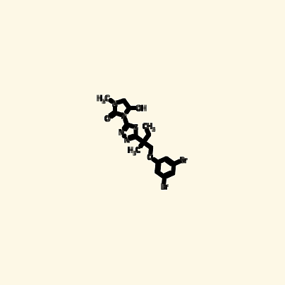 CCC(C)(COc1cc(Br)cc(Br)c1)c1nnc(N2C(=O)N(C)CC2O)s1